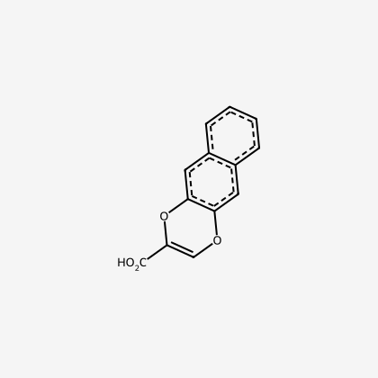 O=C(O)C1=COc2cc3ccccc3cc2O1